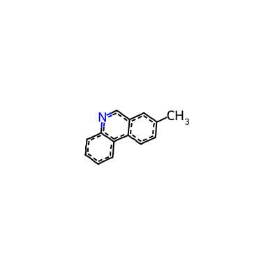 Cc1ccc2c(cnc3ccccc32)c1